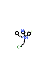 Fc1ccc(-c2nc(C#CCCCCl)n(CCCc3ccccc3)c2-c2ccncc2)cc1